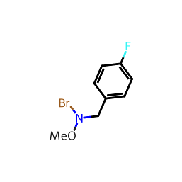 CON(Br)Cc1ccc(F)cc1